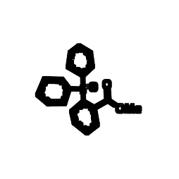 COC(=O)c1ccccc1[S+](=O)(c1ccccc1)c1ccccc1